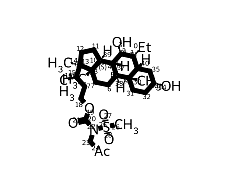 CC[C@H]1[C@@H](O)[C@@H]2[C@H](CC[C@@]3(C)[C@H]2CC[C@]3(C)[C@H](C)CCOC(=O)N(CC(C)=O)S(C)(=O)=O)[C@@]2(C)CC[C@@H](O)C[C@@H]12